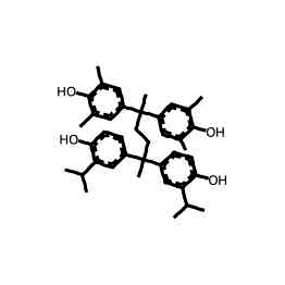 Cc1cc(C(C)(CCC(C)(c2ccc(O)c(C(C)C)c2)c2ccc(O)c(C(C)C)c2)c2cc(C)c(O)c(C)c2)cc(C)c1O